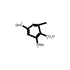 COc1cc(C=O)cc(C)c1C(=O)O